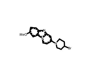 COc1ccc2nc3cc(N4CCC(Br)CC4)ccn3c2c1